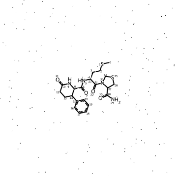 CSCC[C@H](NC(=O)C1NC(=O)CCC1c1ccccc1)C(=O)N1CSCC1C(N)=O